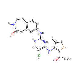 CNC(=O)c1scc(C)c1Nc1nc(Nc2ccc3c(c2)CC(=O)N(C)CC3)ncc1Cl